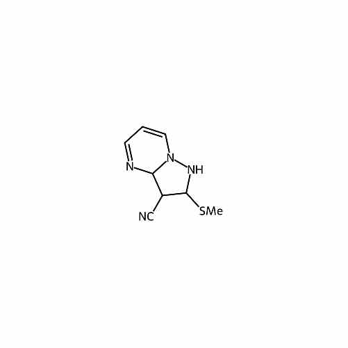 CSC1NN2C=CC=NC2C1C#N